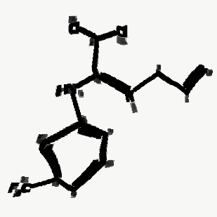 C=CCN=C(Nc1cccc(C(F)(F)F)c1)C(Cl)Cl